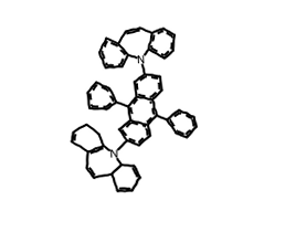 C1=CC2C=CC3=C(CCC=C3)N(c3ccc4c(-c5ccccc5)c5ccc(N6c7ccccc7C=Cc7ccccc76)cc5c(-c5ccccc5)c4c3)C2C=C1